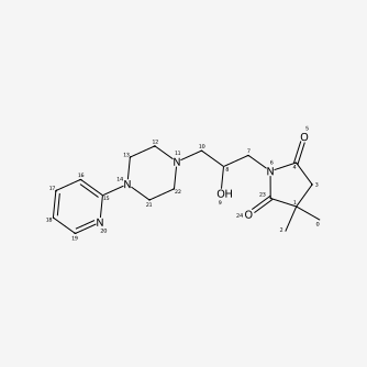 CC1(C)CC(=O)N(CC(O)CN2CCN(c3ccccn3)CC2)C1=O